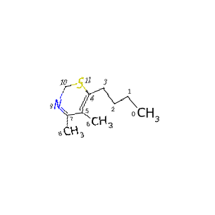 CCCCC1=C(C)C(C)=NCS1